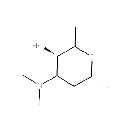 CC1O[C@H](C)CC(N(C)C)[C@H]1O